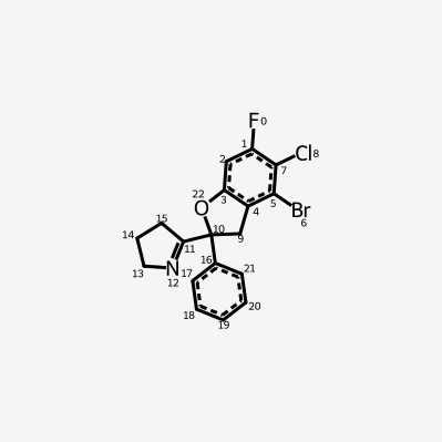 Fc1cc2c(c(Br)c1Cl)CC(C1=NCCC1)(c1ccccc1)O2